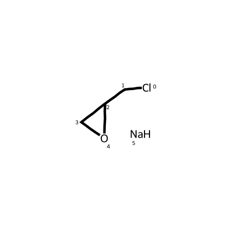 ClCC1CO1.[NaH]